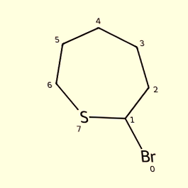 BrC1CCCCCS1